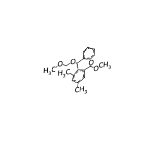 COCOC(c1ccccc1)c1c(C)cc(C)cc1C(=O)OC